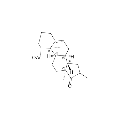 CC(=O)OC1CCCC2=CC[C@H]3[C@@H]4CC(C)C(=O)[C@@]4(C)CC[C@@H]3[C@]21C